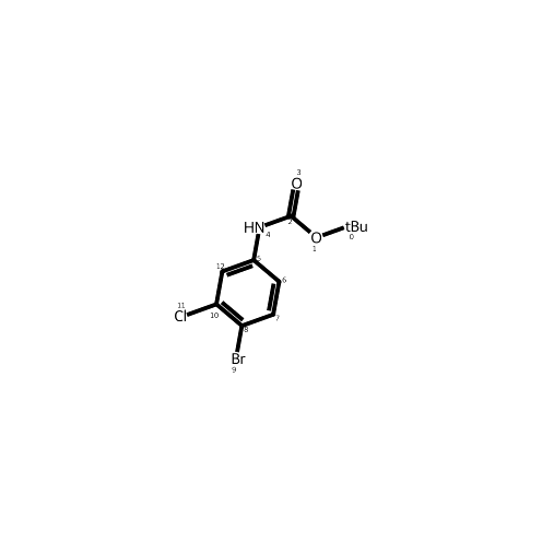 CC(C)(C)OC(=O)Nc1ccc(Br)c(Cl)c1